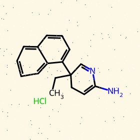 CCC1(c2cccc3ccccc23)C=NC(N)=CC1.Cl